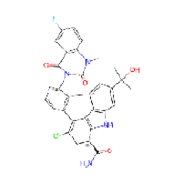 Cc1c(C2=C(Cl)C[C@H](C(N)=O)c3[nH]c4cc(C(C)(C)O)ccc4c32)cccc1-n1c(=O)c2cc(F)ccc2n(C)c1=O